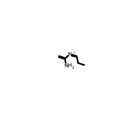 C=C(N)/N=C\CC